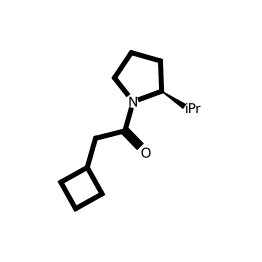 CC(C)[C@@H]1CCCN1C(=O)CC1CCC1